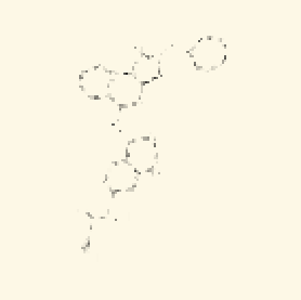 C#CC(=O)Nc1ccc2c(Nc3cc4cn(Cc5ccccc5)nc4c4ccccc34)ncnc2c1